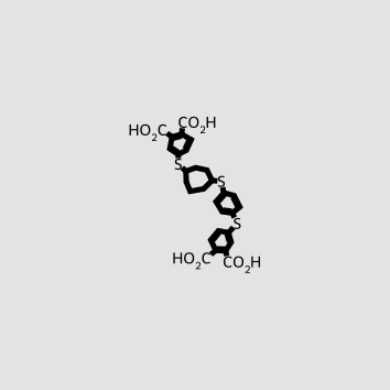 O=C(O)c1ccc(Sc2ccc(SC3CCCC(Sc4ccc(C(=O)O)c(C(=O)O)c4)CC3)cc2)cc1C(=O)O